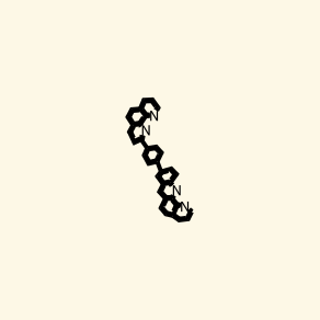 c1cnc2c(c1)ccc1ccc(-c3ccc(-c4ccc5nc6c(ccc7cccnc76)cc5c4)cc3)nc12